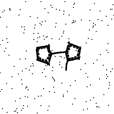 Cc1nnsc1-c1n[c]cs1